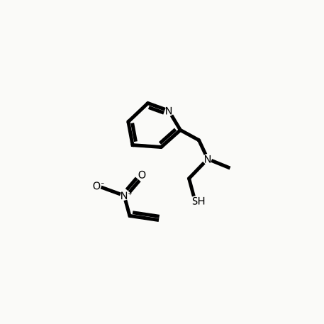 C=C[N+](=O)[O-].CN(CS)Cc1ccccn1